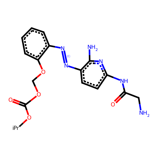 CC(C)OC(=O)OCOc1ccccc1/N=N/c1ccc(NC(=O)CN)nc1N